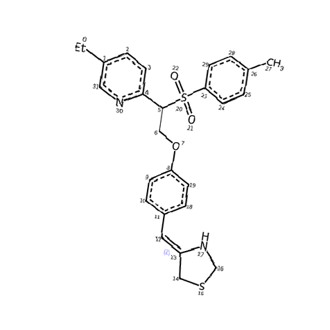 CCc1ccc(C(COc2ccc(/C=C3/CSCN3)cc2)S(=O)(=O)c2ccc(C)cc2)nc1